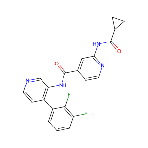 O=C(Nc1cnccc1-c1cccc(F)c1F)c1ccnc(NC(=O)C2CC2)c1